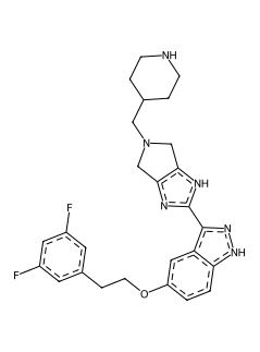 Fc1cc(F)cc(CCOc2ccc3[nH]nc(-c4nc5c([nH]4)CN(CC4CCNCC4)C5)c3c2)c1